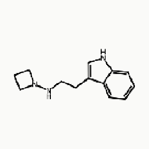 c1ccc2c(CCNN3CCC3)c[nH]c2c1